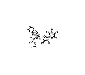 CC(C)OC(=O)[C@@H](C)NP(=O)(OC[C@H]1O[C@@H](n2cc(F)c(=O)[nH]c2=O)[C@@H](C)[C@@H]1O)Oc1ccccc1